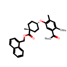 COC(=O)c1cc(O[C@H]2CC[C@@](C)(C(=O)OCc3cccc4ccccc34)CC2)c(C)cc1OC